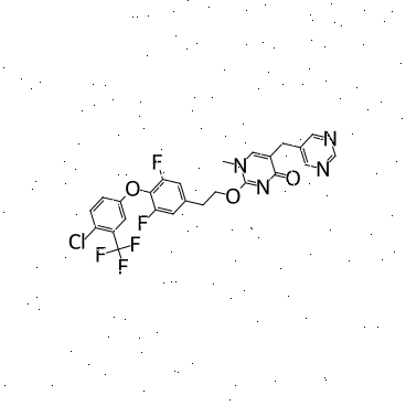 Cn1cc(Cc2cncnc2)c(=O)nc1OCCc1cc(F)c(Oc2ccc(Cl)c(C(F)(F)F)c2)c(F)c1